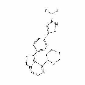 FC(F)n1cc(-c2ccc(-c3cnn4ccnc(C5CCCCC5)c34)cc2)cn1